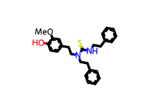 COc1cc(CCN(CCc2ccccc2)C(=S)NCCc2ccccc2)ccc1O